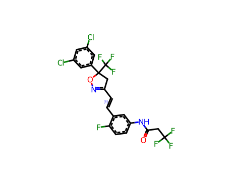 O=C(CC(F)(F)F)Nc1ccc(F)c(/C=C/C2=NOC(c3cc(Cl)cc(Cl)c3)(C(F)(F)F)C2)c1